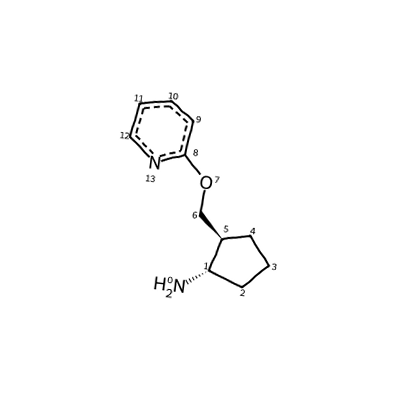 N[C@H]1CCC[C@@H]1COc1ccccn1